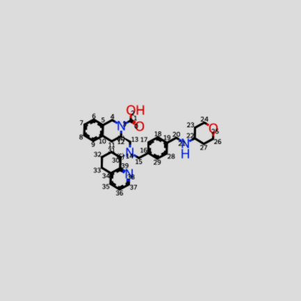 O=C(O)N1Cc2ccccc2C[C@@H]1CN(Cc1ccc(CNC2CCOCC2)cc1)[C@H]1CCCc2cccnc21